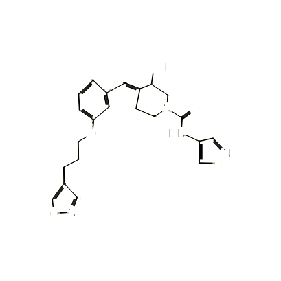 CC1CN(C(=O)Nc2cnoc2)CCC1=Cc1cccc(OCCCc2cnoc2)c1